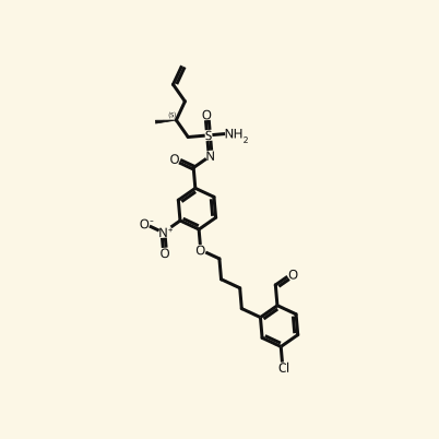 C=CC[C@H](C)CS(N)(=O)=NC(=O)c1ccc(OCCCCc2cc(Cl)ccc2C=O)c([N+](=O)[O-])c1